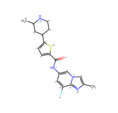 Cc1cn2cc(NC(=O)c3ccc(C4CCNC(C)C4)s3)cc(F)c2n1